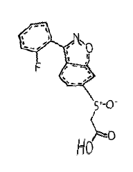 O=C(O)C[S+]([O-])c1ccc2c(-c3ccccc3F)noc2c1